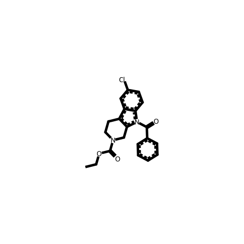 CCOC(=O)N1CCc2c(n(C(=O)c3ccccc3)c3ccc(Cl)cc23)C1